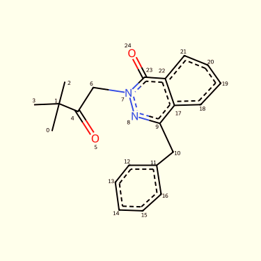 CC(C)(C)C(=O)Cn1nc(Cc2ccccc2)c2ccccc2c1=O